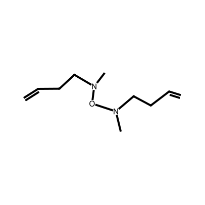 C=CCCN(C)ON(C)CCC=C